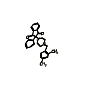 Cc1ccc(CN2CCN(C3(c4ccccc4)C(=O)c4ccccc4C3=O)CC2)c(C)c1